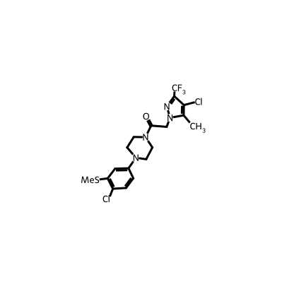 CSc1cc(N2CCN(C(=O)Cn3nc(C(F)(F)F)c(Cl)c3C)CC2)ccc1Cl